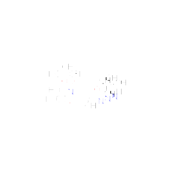 C[C@@H](C[C@@H]1COC(C)(C)N1C(=O)OC(C)(C)C)C(N=[N+]=[N-])O[Si](C)(C)C(C)(C)C